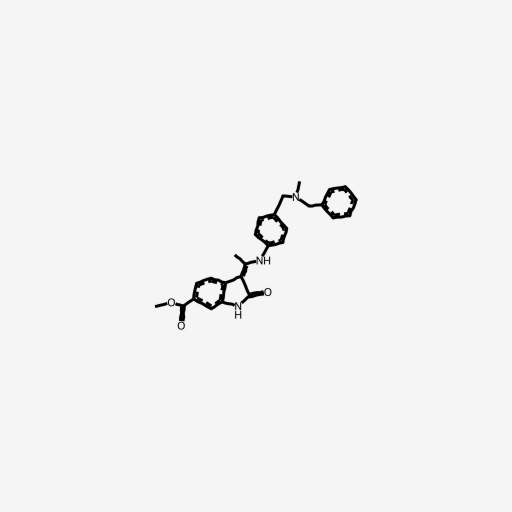 COC(=O)c1ccc2c(c1)NC(=O)/C2=C(/C)Nc1ccc(CN(C)Cc2ccccc2)cc1